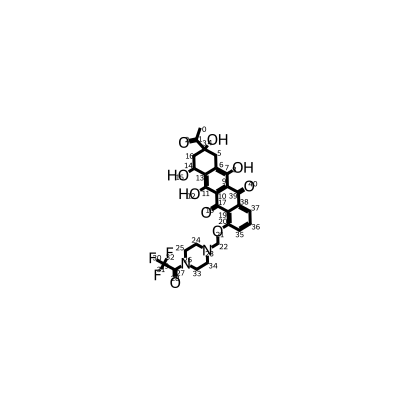 CC(=O)C1(O)Cc2c(O)c3c(c(O)c2C(O)C1)C(=O)c1c(OCN2CCN(C(=O)C(F)(F)F)CC2)cccc1C3=O